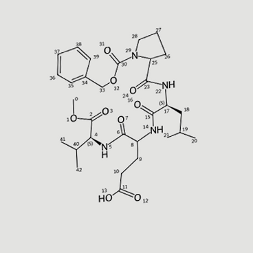 COC(=O)[C@@H](NC(=O)C(CCC(=O)O)NC(=O)[C@H](CC(C)C)NC(=O)C1CCCN1C(=O)OCc1ccccc1)C(C)C